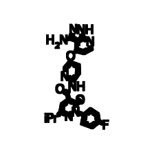 CC(C)c1cc(C(=O)Nc2ccc(Oc3ccnc4[nH]nc(N)c34)cn2)c(=O)n(-c2ccc(F)cc2)n1